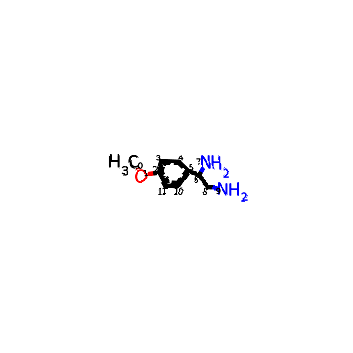 COc1ccc(C(N)CN)cc1